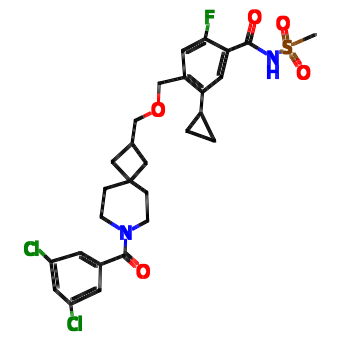 CS(=O)(=O)NC(=O)c1cc(C2CC2)c(COCC2CC3(CCN(C(=O)c4cc(Cl)cc(Cl)c4)CC3)C2)cc1F